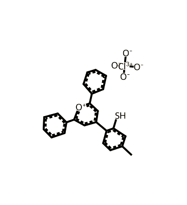 Cc1ccc(-c2cc(-c3ccccc3)[o+]c(-c3ccccc3)c2)c(S)c1.[O-][Cl+3]([O-])([O-])[O-]